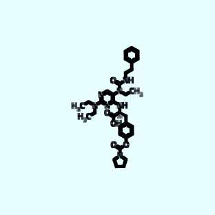 CCN(CC)c1ncc(N(CC)C(=O)NCCc2ccccc2)c(N[C@@H](Cc2ccc(OC(=O)N3CCCC3)cc2)C(=O)O)n1